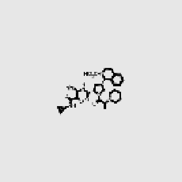 CCCC(NC(=O)[C@@H]1C[C@@H](C2c3ccccc3CCN2C(=O)O)CN1C(=O)C(C)N1CCCCC1)C(=O)C(=O)NC1CC1